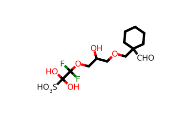 O=CC1(COCC(O)COC(F)(F)C(O)(O)S(=O)(=O)O)CCCCC1